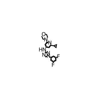 Fc1cc(F)cc(-n2cnc(Nc3cc(C4CC4)nc(N4CCOCC4)c3)n2)c1